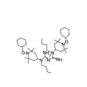 CCCCN(C(=N)/N=C(\N)N(CCCC)C1CC(C)(C)N(OC2CCCCC2)C(C)(C)C1)C1CC(C)(C)N(OC2CCCCC2)C(C)(C)C1